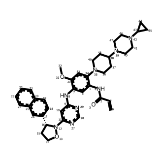 C=CC(=O)Nc1cc(Nc2cc(N3OCC[C@@H]3c3ccc4ccccc4c3)ncn2)c(OC)cc1N1CCC(N2CCN(C3CC3)CC2)CC1